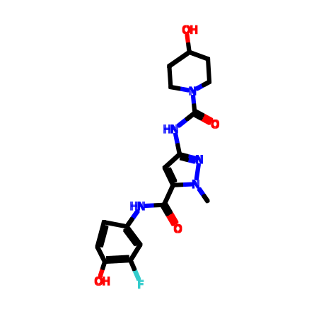 Cn1nc(NC(=O)N2CCC(O)CC2)cc1C(=O)Nc1ccc(O)c(F)c1